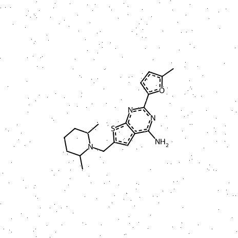 Cc1ccc(-c2nc(N)c3cc(CN4C(C)CCCC4C)sc3n2)o1